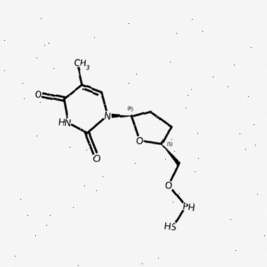 Cc1cn([C@H]2CC[C@@H](COPS)O2)c(=O)[nH]c1=O